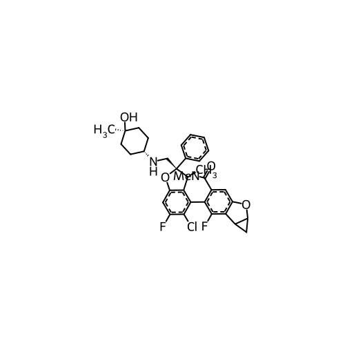 CNC(=O)c1cc2c(c(F)c1-c1c(Cl)c(F)cc3c1[C@H](C)[C@@](CN[C@H]1CC[C@](C)(O)CC1)(c1ccccc1)O3)C1CC1O2